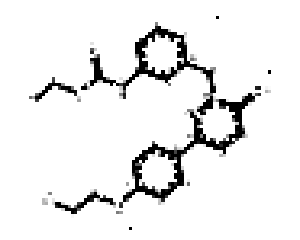 CCOC(=O)Nc1cccc(Cn2nc(-c3ccc(OCCO)cc3)ccc2=O)c1